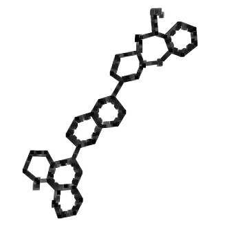 C=C1N=C2C=CC(c3ccc4cc(-c5cc6cccnc6c6c5C=CCN6)ccc4c3)=CN2Sc2ccccc21